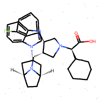 O=C(O)[C@@H](C1CCCCC1)N1C[C@H](CN2[C@@H]3CC[C@H]2C[C@H](n2cnc4ccccc42)C3)[C@@H](c2cccc(F)c2)C1